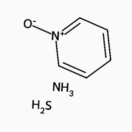 N.S.[O-][n+]1ccccc1